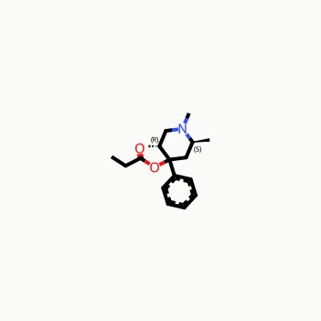 CCC(=O)OC1(c2ccccc2)C[C@H](C)N(C)C[C@H]1C